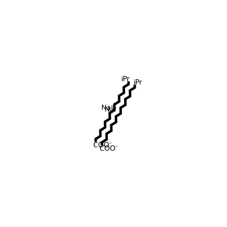 CC(C)CCCCCCCCCCCCCCC(=O)[O-].CC(C)CCCCCCCCCCCCCCC(=O)[O-].[Na+].[Na+]